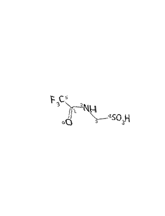 O=C(NCS(=O)(=O)O)C(F)(F)F